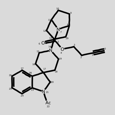 C#CCCOC(=O)N1C2CCC1CC(N1CCC3(CC1)CN(C(C)=O)c1ccccc13)C2